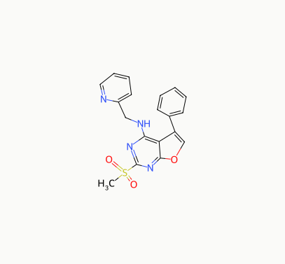 CS(=O)(=O)c1nc(NCc2ccccn2)c2c(-c3ccccc3)coc2n1